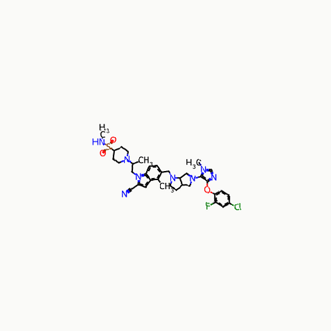 CNS(=O)(=O)C1CCN(C(C)Cn2c(C#N)cc3c(C)c(CN4CCC5CN(c6c(Oc7ccc(Cl)cc7F)ncn6C)CC54)ccc32)CC1